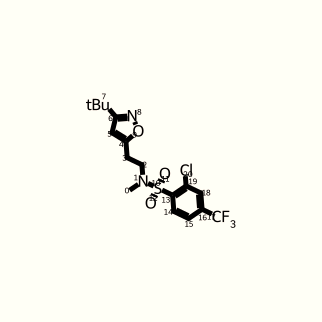 CN(CCc1cc(C(C)(C)C)no1)S(=O)(=O)c1ccc(C(F)(F)F)cc1Cl